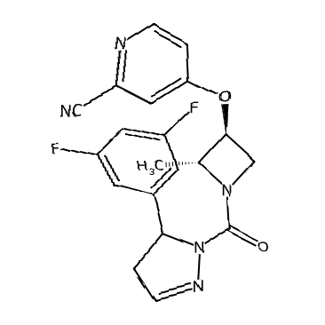 C[C@@H]1[C@@H](Oc2ccnc(C#N)c2)CN1C(=O)N1N=CCC1c1cc(F)cc(F)c1